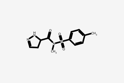 Cc1ccc(S(=O)(=O)N(C)C(=O)C2CC=NN2)cc1